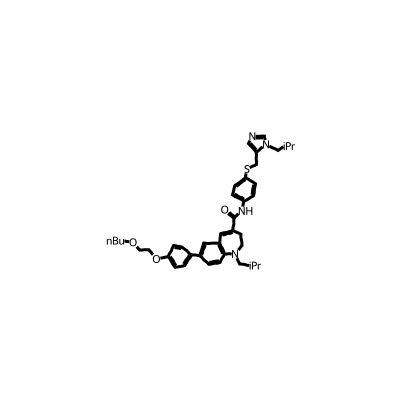 CCCCOCCOc1ccc(-c2ccc3c(c2)C=C(C(=O)Nc2ccc(SCc4cncn4CC(C)C)cc2)CCN3CC(C)C)cc1